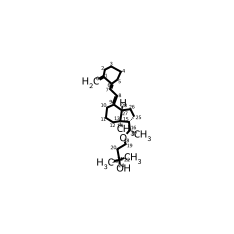 C=C1CCCCC1=CC=C1CCC[C@]2(C)[C@@H]([C@H](C)OCCC(C)(C)O)CC[C@@H]12